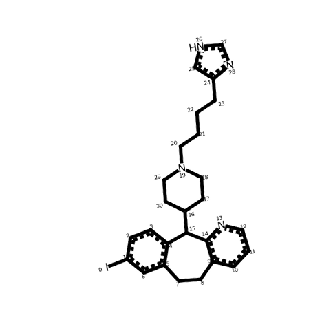 Ic1ccc2c(c1)CCc1cccnc1C2C1CCN(CCCCc2c[nH]cn2)CC1